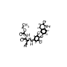 CCOC(=O)NC(=O)/C(C#N)=N/Nc1cc(Cl)c(Oc2ccc3c(c2)CCC(=O)N3)c(Cl)c1